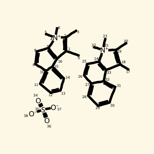 CC1=C(C)[N+](C)(C)c2ccc3ccccc3c21.CC1=C(C)[N+](C)(C)c2ccc3ccccc3c21.O=S(=O)([O-])[O-]